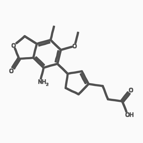 COc1c(C)c2c(c(N)c1C1C=C(CCC(=O)O)CC1)C(=O)OC2